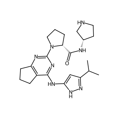 CC(C)c1cc(Nc2nc(N3CCC[C@@H]3C(=O)N[C@H]3CCNC3)nc3c2CCC3)[nH]n1